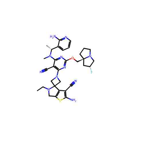 CCN1Cc2sc(N)c(C#N)c2C12CN(c1nc(OC[C@@]34CCCN3C[C@H](F)C4)nc(N(C)[C@H](C)c3cccnc3N)c1C#N)C2